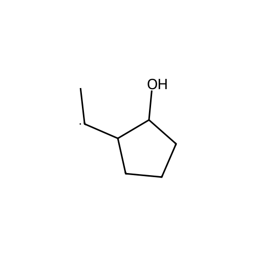 C[CH]C1CCCC1O